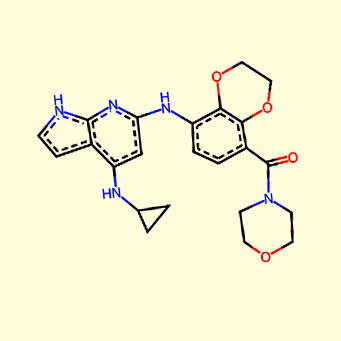 O=C(c1ccc(Nc2cc(NC3CC3)c3cc[nH]c3n2)c2c1OCCO2)N1CCOCC1